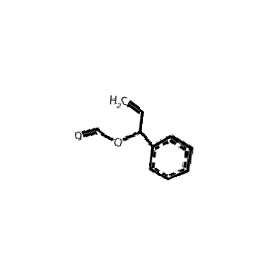 C=CC(OC=O)c1ccccc1